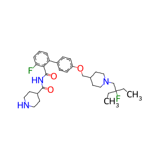 CCC(F)(CC)CN1CCC(COc2ccc(-c3cccc(F)c3C(=O)NC(=O)C3CCNCC3)cc2)CC1